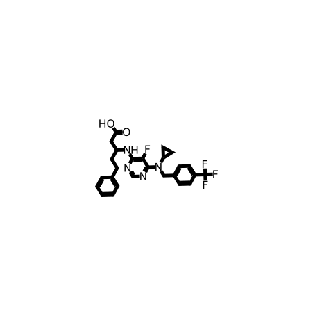 O=C(O)CC(CCc1ccccc1)Nc1ncnc(N(Cc2ccc(C(F)(F)F)cc2)C2CC2)c1F